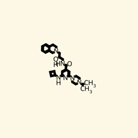 CC(C)N1CCN(c2cc(C(=O)NCC(O)CN3CCc4ccccc4C3)cc(NC3CCC3)n2)CC1